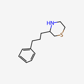 c1ccc(CCCC2CSCCN2)cc1